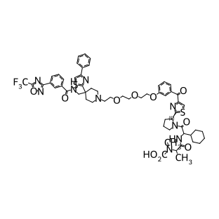 CC(C(=O)NC(C(=O)N1CCC[C@H]1c1nc(C(=O)c2cccc(OCCOCCOCCN3CCC(CNC(=O)c4cccc(-c5noc(C(F)(F)F)n5)c4)(c4nc(-c5ccccc5)cs4)CC3)c2)cs1)C1CCCCC1)N(C)C(=O)O